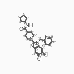 O=C(NC1CCCC1)C1CCN(c2nc3cc(Cl)c(Cl)cc3n2Cc2ccccn2)CC1